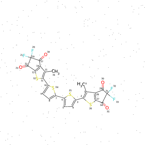 Cc1c(-c2ccc(-c3ccc(-c4sc5c(c4C)C(=O)C(F)(F)C5=O)s3)s2)sc2c1C(=O)C(F)(F)C2=O